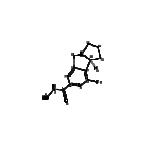 O=C(NO)c1cc(F)c2c(c1)CN1CCC[C@@H]21